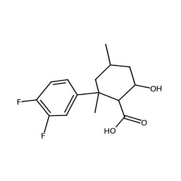 CC1CC(O)C(C(=O)O)C(C)(c2ccc(F)c(F)c2)C1